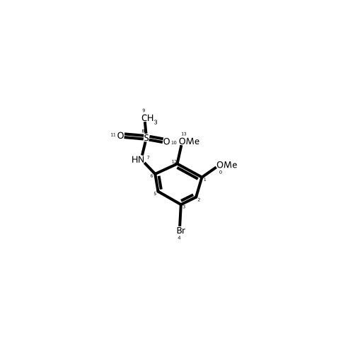 COc1cc(Br)cc(NS(C)(=O)=O)c1OC